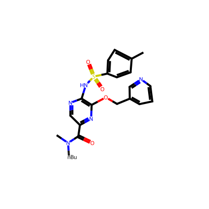 CCCCN(C)C(=O)c1cnc(NS(=O)(=O)c2ccc(C)cc2)c(OCc2cccnc2)n1